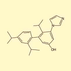 CC(C)c1ccc(-c2cc(O)cc(-n3ccnc3)c2C(C)C)c(C(C)C)c1